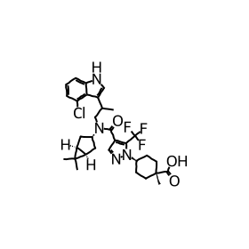 CC(CN(C(=O)c1cnn([C@H]2CC[C@](C)(C(=O)O)CC2)c1C(F)(F)F)[C@@H]1C[C@@H]2[C@H](C1)C2(C)C)c1c[nH]c2cccc(Cl)c12